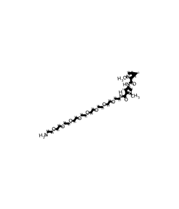 Cn1cc(NC(=O)c2c3c(cn2C)C3)cc1C(=O)NCCOCCOCCOCCOCCOCCOCCOCCOCCN